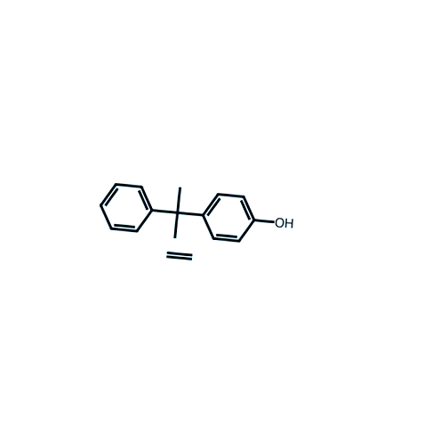 C=C.CC(C)(c1ccccc1)c1ccc(O)cc1